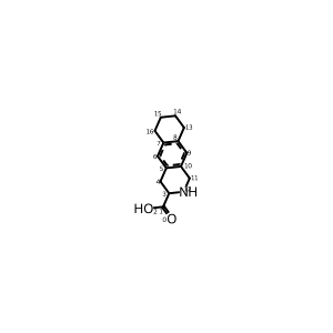 O=C(O)C1Cc2cc3c(cc2CN1)CCCC3